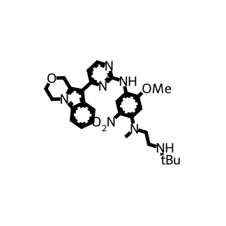 COc1cc(N(C)CCNC(C)(C)C)c([N+](=O)[O-])cc1Nc1nccc(-c2c3n(c4ccccc24)CCOC3)n1